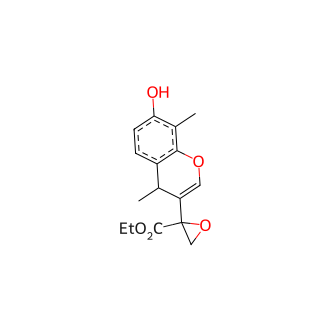 CCOC(=O)C1(C2=COc3c(ccc(O)c3C)C2C)CO1